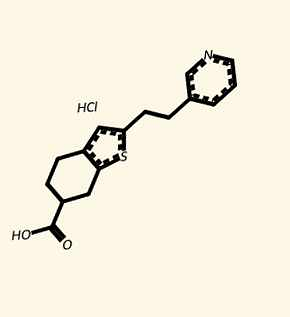 Cl.O=C(O)C1CCc2cc(CCc3cccnc3)sc2C1